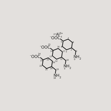 NCC1CCC(C(=O)[O-])CC1.NCC1CCC(C(=O)[O-])CC1.NCC1CCC(C(=O)[O-])CC1.[Al+3]